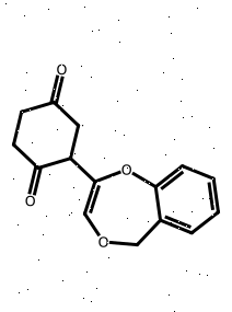 O=C1[CH]C(C2=COCc3ccccc3O2)C(=O)CC1